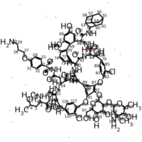 CN[C@H](CC(C)C)C(=O)N[C@H]1C(=O)N[C@@H](CC(=O)NS(=O)(=O)c2ccc(OCCCN)cc2)C(=O)N[C@H]2C(=O)N[C@H]3C(=O)N[C@H](C(=O)N[C@H](C(=O)NC4C5CC6CC(C5)CC4C6)c4cc(O)cc(O)c4-c4cc3ccc4O)[C@H](O)c3ccc(c(Cl)c3)Oc3cc2cc(c3O[C@@H]2O[C@H](CO)[C@@H](O)[C@H](O)[C@H]2O[C@H]2C[C@](C)(N)[C@H](O)[C@H](C)O2)Oc2ccc(cc2Cl)[C@H]1O